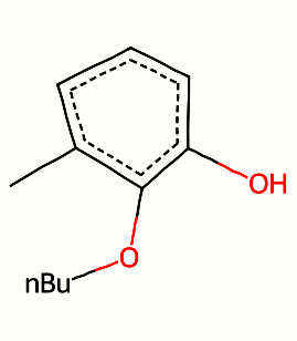 CCCCOc1c(C)cccc1O